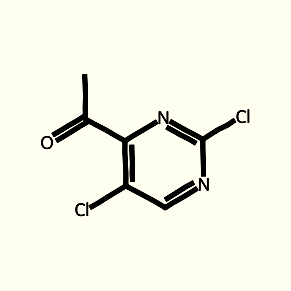 CC(=O)c1nc(Cl)ncc1Cl